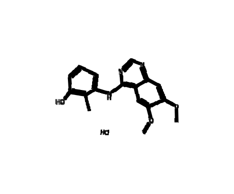 COc1cc2ncnc(Nc3cccc(O)c3C)c2cc1OC.Cl